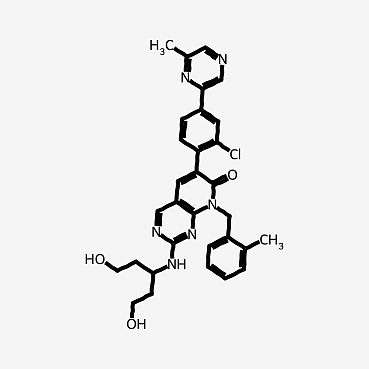 Cc1cncc(-c2ccc(-c3cc4cnc(NC(CCO)CCO)nc4n(Cc4ccccc4C)c3=O)c(Cl)c2)n1